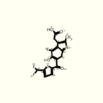 CC1=C(CC(=O)O)C2=C(F)C(O)=C(C(=O)c3ccc(C(F)F)s3)CC2=N1